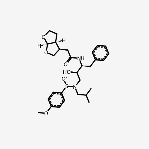 COc1ccc([S+]([O-])N(CC(C)C)C[C@@H](O)[C@H](Cc2ccccc2)NC(=O)C[C@H]2CO[C@H]3OCC[C@@H]23)cc1